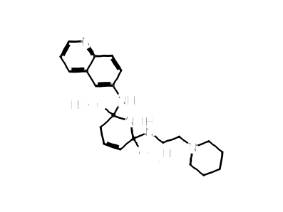 O=C(O)C1(NCCN2CCCCC2)C=CCC(Nc2ccc3ncccc3c2)(C(=O)O)N1